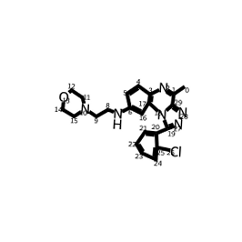 Cc1nc2ccc(NCCN3CCOCC3)cc2n2c(-c3ccccc3Cl)nnc12